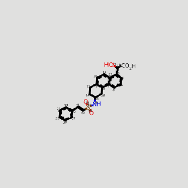 O=C(O)C(O)c1cccc2c3c(ccc12)CCC(NS(=O)(=O)C=Cc1ccccc1)C3